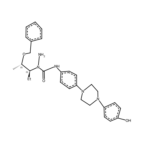 CC[C@@H]([C@H](C)OCc1ccccc1)N(N)C(=O)Nc1ccc(N2CCN(c3ccc(O)cc3)CC2)cc1